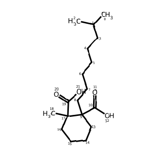 CC(C)CCCCCCC1(C(=O)O)CCCCC1(C)C(=O)O